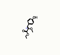 CCOC(=O)/C(=C/c1ccc(O)cc1)OC